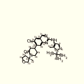 BC(B)(B)n1ncc(Nc2ncc3cc(Cl)c(C4CCN([C@]5(C)COC[C@@H]5O)CC4)cc3n2)c1C